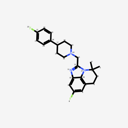 CC1(C)CCc2cc(F)cc3nc(CN4CCC(c5ccc(F)cc5)CC4)n1c23